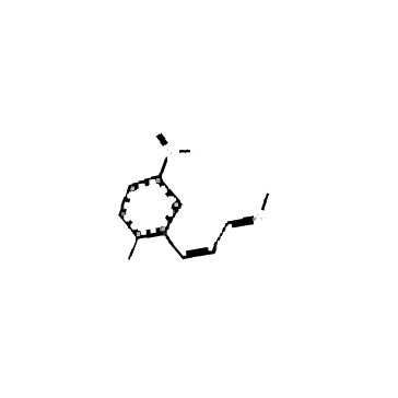 Cc1ccc([N+](=O)[O-])cc1/C=C\C=N\O